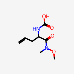 C=CCC(NC(=O)O)C(=O)N(C)OC